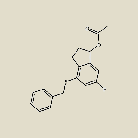 CC(=O)OC1CCc2c(SCc3ccccc3)cc(F)cc21